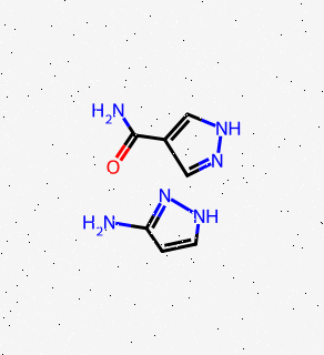 NC(=O)c1cn[nH]c1.Nc1cc[nH]n1